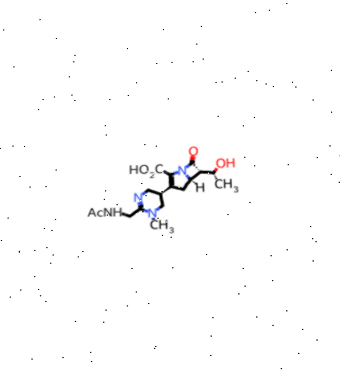 CC(=O)NCC1=NC[C@@H](C2=C(C(=O)O)N3C(=O)[C@H]([C@@H](C)O)[C@H]3C2)CN1C